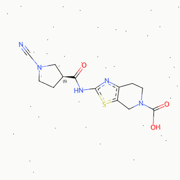 N#CN1CC[C@H](C(=O)Nc2nc3c(s2)CN(C(=O)O)CC3)C1